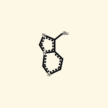 CCC(C)c1ncn2cnccc12